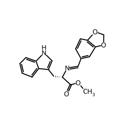 COC(=O)[C@H](Cc1c[nH]c2ccccc12)/N=C/c1ccc2c(c1)OCO2